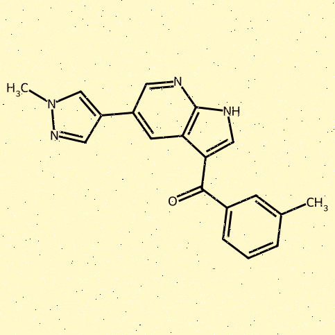 Cc1cccc(C(=O)c2c[nH]c3ncc(-c4cnn(C)c4)cc23)c1